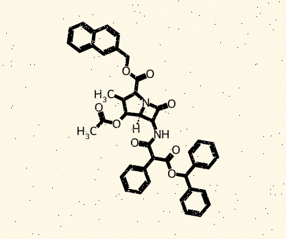 CC(=O)OC1C(C)C(C(=O)OCc2ccc3ccccc3c2)N2C(=O)C(NC(=O)C(C(=O)OC(c3ccccc3)c3ccccc3)c3ccccc3)[C@@H]12